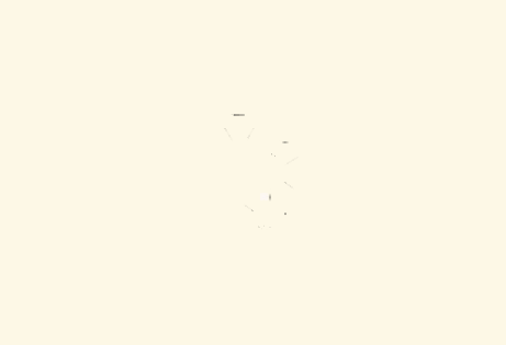 COC(=O)/C(O)=C/C(=O)c1ccc(Cc2ccc(F)cc2)[nH]1